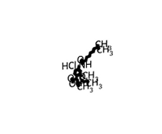 CCCCN(CC)C(C(=O)O)c1ccc(CNC(=O)CCCCC=CC(C)C)cc1OC.Cl